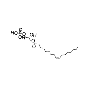 CCCCCCC/C=C\CCCCCCCC(=O)OC[C@@H](O)COP(=O)(O)O